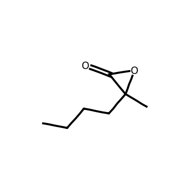 CCCCC1(C)OC1=O